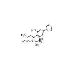 C=C(C)[C@@H]1C[C@H](O)C(C)=C[C@H]1c1c(O)cc(-c2ccccc2)cc1O